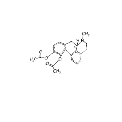 CC(=O)Oc1ccc2c(c1OC(C)=O)-c1cccc3c1[C@H](C2)N(C)CC3